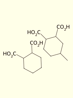 CC1CCC(C(=O)O)C(C(=O)O)C1.O=C(O)C1CCCCC1C(=O)O